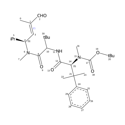 C/C(C=O)=C\[C@H](C(C)C)N(C)C(=O)C(NC(=O)[C@@H](N(C)C(=O)OC(C)(C)C)C(C)(C)c1ccccc1)C(C)(C)C